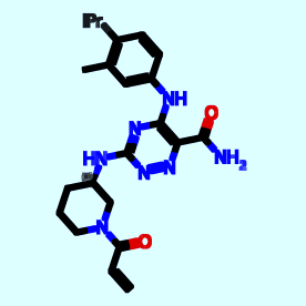 C=CC(=O)N1CCC[C@@H](Nc2nnc(C(N)=O)c(Nc3ccc(C(C)C)c(C)c3)n2)C1